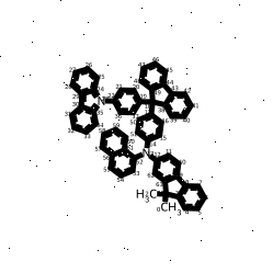 CC1(C)c2ccccc2-c2ccc(N(c3ccc(C4(c5ccc(-n6c7ccccc7c7ccccc76)cc5)c5ccccc5-c5ccccc54)cc3)c3cccc4ccccc34)cc21